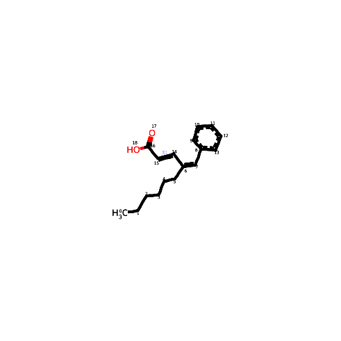 CCCCCCC(=Cc1ccccc1)/C=C/C(=O)O